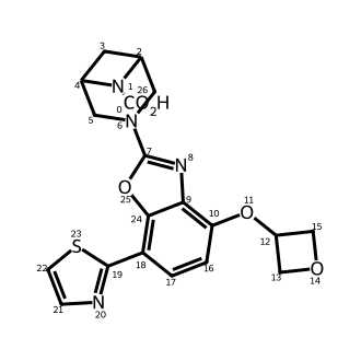 O=C(O)N1C2CC1CN(c1nc3c(OC4COC4)ccc(-c4nccs4)c3o1)C2